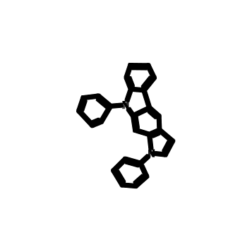 c1ccc(-n2ccc3cc4c5ccccc5n(-c5ccccc5)c4cc32)cc1